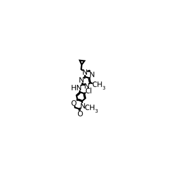 Cc1nc(Nc2cc3c(cc2Cl)N(C)C(=O)CO3)nc2c1ncn2CC1CC1